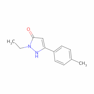 CCn1[nH]c(-c2ccc(C)cc2)cc1=O